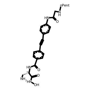 CCCCCNCC(=O)Nc1ccc(C#Cc2ccc(C(=O)N[C@@H](CN)C(=O)NO)cc2)cc1